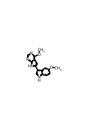 COc1ccc2[nH]cc(-c3cc4c(OC)ncnc4[nH]3)c2c1